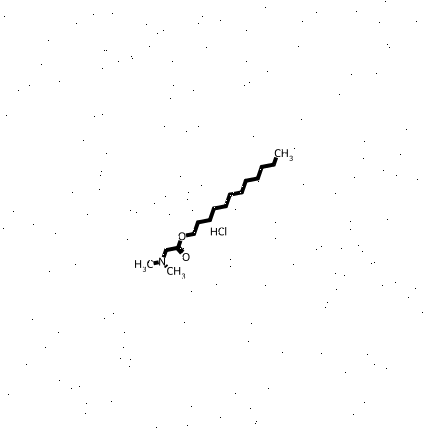 CCCCCCCCCCCCOC(=O)CN(C)C.Cl